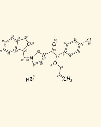 Br.C=CCOC(c1ccc(Cl)cc1)C(Cl)N1C=CN(CC2OCc3ccccc32)C1